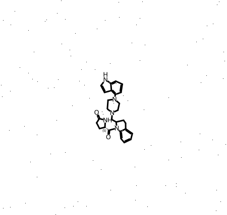 O=C1CC[C@@H](C(=O)N2c3ccccc3CCC2CN2CCN(c3cccc4[nH]ccc34)CC2)N1